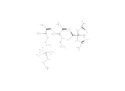 CCCC(O)C(=O)O.CCCC(O)C(=O)O.C[N+](C)(C)CCO.O=C(O)CC(O)(CC(=O)O)C(=O)[O-]